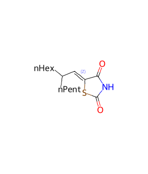 CCCCCCC(/C=C1\SC(=O)NC1=O)CCCCC